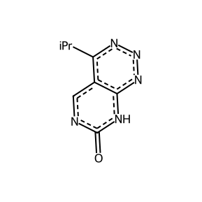 CC(C)c1nnnc2[nH]c(=O)ncc12